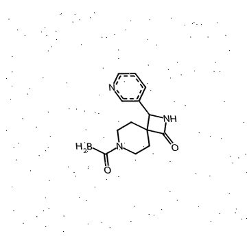 BC(=O)N1CCC2(CC1)C(=O)NC2c1cccnc1